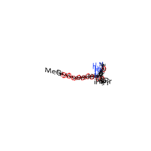 COCCOCCOCCOCCOCCOCCOCCOCCNC(=O)c1cc(NC(=O)C(C)N)ccc1CO[Si](C(C)C)(C(C)C)C(C)C